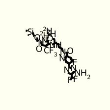 [2H]C([2H])([2H])OCC(CCCn1cnc2cc(-c3ncc(C(F)F)c(N)n3)c(F)cc2c1=O)Nc1cnn(COCC[Si](C)(C)C)c(=O)c1C(F)(F)F